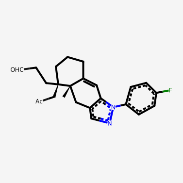 CC(=O)C[C@@]1(CCC=O)CCCC2=Cc3c(cnn3-c3ccc(F)cc3)C[C@@]21C